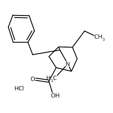 CCC1CC2C(C(=O)O)CC1C(Cc1ccccc1)N2C.Cl